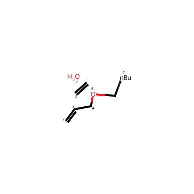 C=C.C=CCOCCCCC.O